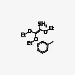 CCOC([SiH3])=C(OCC)OCC.Cc1ccccc1